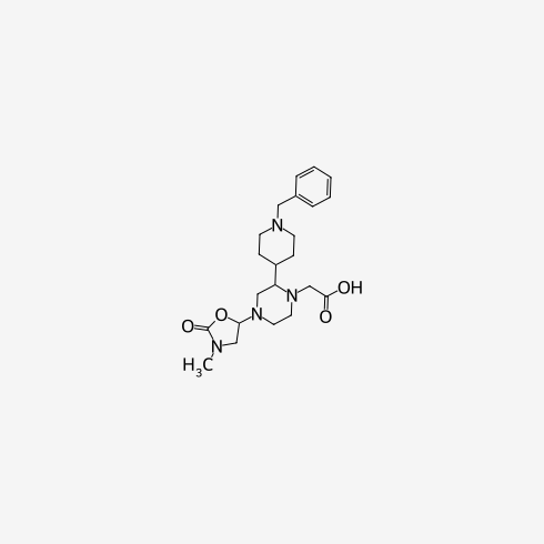 CN1CC(N2CCN(CC(=O)O)C(C3CCN(Cc4ccccc4)CC3)C2)OC1=O